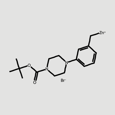 CC(C)(C)OC(=O)N1CCN(c2cccc([CH2][Zn+])c2)CC1.[Br-]